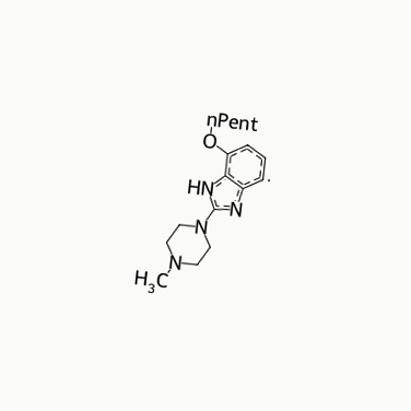 CCCCCOc1cc[c]c2nc(N3CCN(C)CC3)[nH]c12